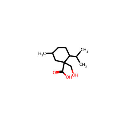 CC1CCC(C(C)C)C(CO)(C(=O)O)C1